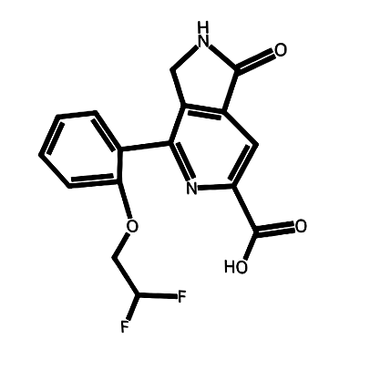 O=C(O)c1cc2c(c(-c3ccccc3OCC(F)F)n1)CNC2=O